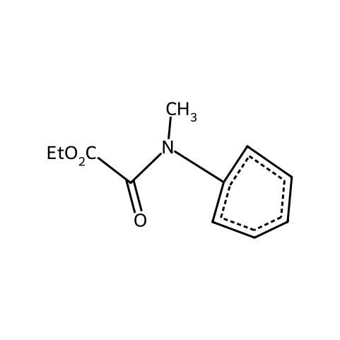 CCOC(=O)C(=O)N(C)c1ccccc1